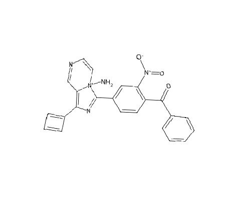 N[N+]12C=CN=CC1=C(C1=CC=C1)N=C2c1ccc(C(=O)c2ccccc2)c([N+](=O)[O-])c1